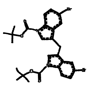 CC(C)(C)OC(=O)n1cc(Cc2cn(C(=O)OC(C)(C)C)c3ccc(Br)cc23)c2cc(Br)ccc21